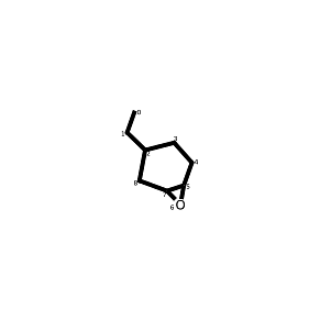 CCC1CC[C]2OC2C1